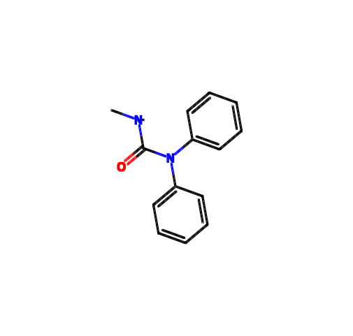 C[N]C(=O)N(c1ccccc1)c1ccccc1